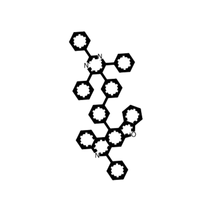 c1ccc(-c2nc(-c3ccccc3)c(-c3cccc(-c4cccc(-c5c6c(cc7c(-c8ccccc8)nc8ccccc8c57)oc5ccccc56)c4)c3)c(-c3ccccc3)n2)cc1